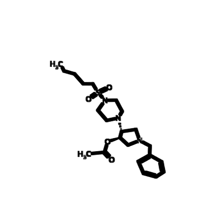 CCCCCS(=O)(=O)N1CCN([C@@H]2CN(Cc3ccccc3)C[C@H]2OC(C)=O)CC1